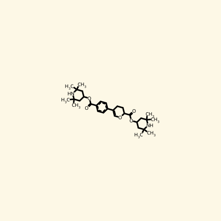 CC1(C)CC(OC(=O)c2ccc(C3=COC(C(=O)OC4CC(C)(C)NC(C)(C)C4)CC3)cc2)CC(C)(C)N1